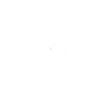 CCOC(=S)C(C)Cc1ccc(OCC(=O)OC(C)(C)C)cc1